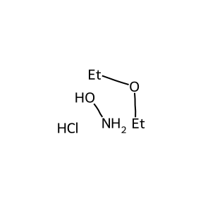 CCOCC.Cl.NO